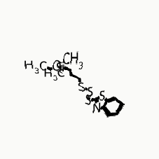 CCO[Si](C)(C)CCCSSSc1nc2ccccc2s1